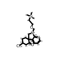 C[Si](C)(C)CCOCN1CC2(CCC(Cl)CC2=O)c2cccnc21